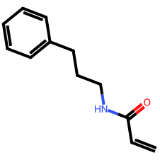 C=CC(=O)NCCCc1ccccc1